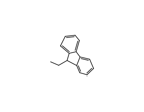 CCC1c2c[c]ccc2-c2ccccc21